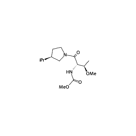 COC(=O)N[C@H](C(=O)N1CC[C@H](C(C)C)C1)[C@@H](C)OC